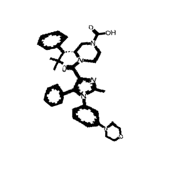 Cc1nc(C(=O)N2CCN(C(=O)O)C[C@H]2C(c2ccccc2)C(C)(C)C)c(-c2ccccc2)n1-c1cccc(N2CCOCC2)c1